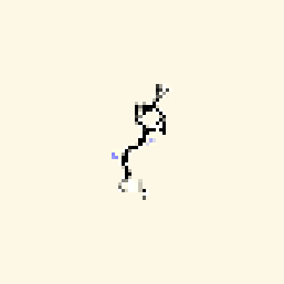 C=C/C=C\C=C1/CN=C(Br)C=N1